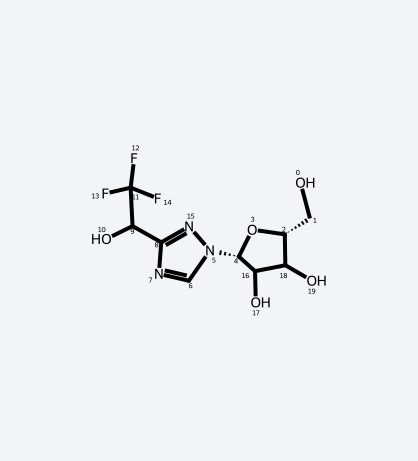 OC[C@H]1O[C@@H](n2cnc(C(O)C(F)(F)F)n2)C(O)C1O